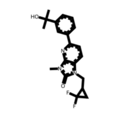 Cn1c(=O)n(CC2CC2(F)F)c2ccc(-c3cccc(C(C)(C)O)c3)nc21